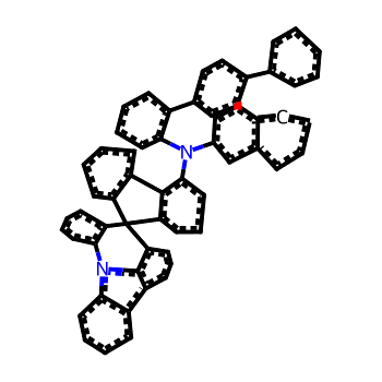 c1ccc(-c2ccc(-c3ccccc3N(c3ccc4ccccc4c3)c3cccc4c3-c3ccccc3C43c4ccccc4-n4c5ccccc5c5cccc3c54)cc2)cc1